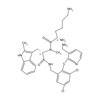 Cc1[nH]c2ccccc2c1C[C@@H](C(=O)NCc1cc(Cl)cc(Cl)c1Sc1ncccc1CN)N(C)C(=O)[C@@H](N)CCCCN